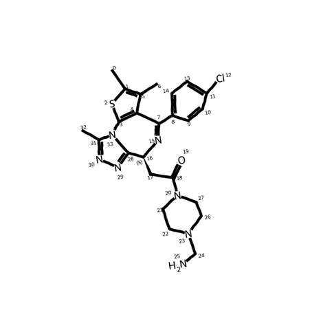 Cc1sc2c(c1C)C(c1ccc(Cl)cc1)=N[C@@H](CC(=O)N1CCN(CN)CC1)c1nnc(C)n1-2